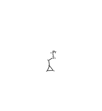 CC(C)SCC1CC1